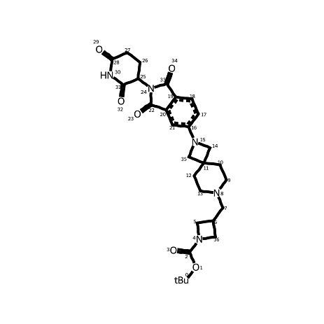 CC(C)(C)OC(=O)N1CC(CN2CCC3(CC2)CN(c2ccc4c(c2)C(=O)N(C2CCC(=O)NC2=O)C4=O)C3)C1